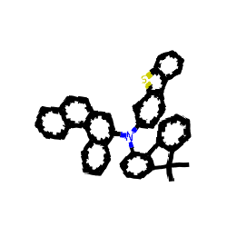 CC1(C)c2ccccc2-c2c(N(c3ccc4c(c3)sc3ccccc34)c3cc4ccc5ccccc5c4c4ccccc34)cccc21